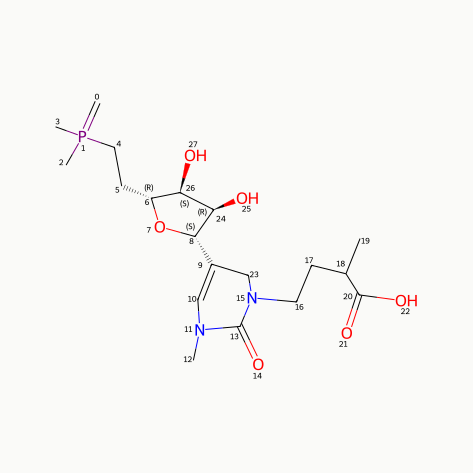 C=P(C)(C)CC[C@H]1O[C@@H](C2=CN(C)C(=O)N(CCC(C)C(=O)O)C2)[C@H](O)[C@@H]1O